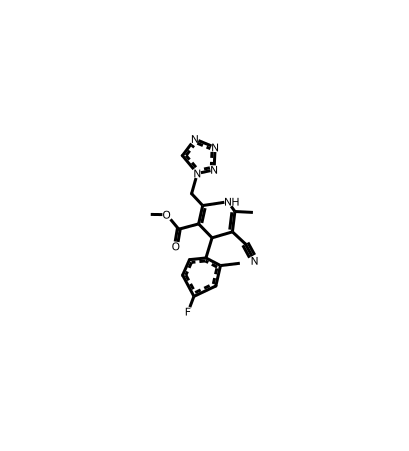 COC(=O)C1=C(Cn2cnnn2)NC(C)=C(C#N)C1c1ccc(F)cc1C